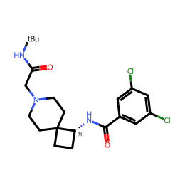 CC(C)(C)NC(=O)CN1CCC2(CC[C@H]2NC(=O)c2cc(Cl)cc(Cl)c2)CC1